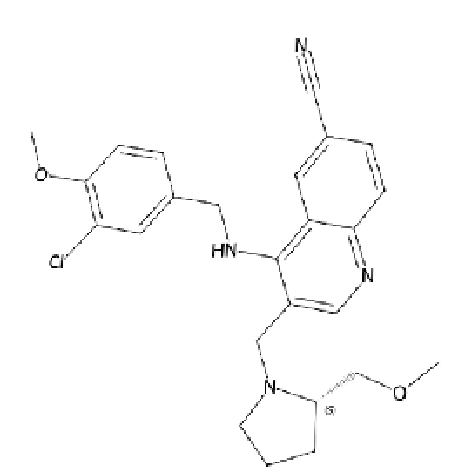 COC[C@@H]1CCCN1Cc1cnc2ccc(C#N)cc2c1NCc1ccc(OC)c(Cl)c1